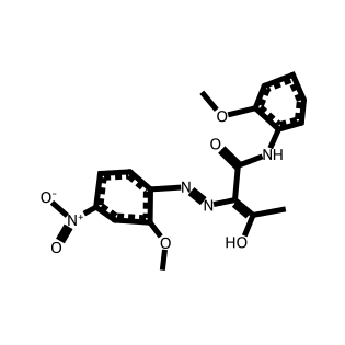 COc1cc([N+](=O)[O-])ccc1/N=N/C(C(=O)Nc1ccccc1OC)=C(/C)O